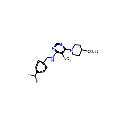 CCOC(=O)C1CCN(c2ncnc(NCc3ccc(C(F)F)cc3)c2[N+](=O)[O-])CC1